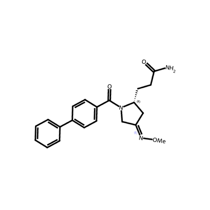 CO/N=C1\C[C@@H](CCC(N)=O)N(C(=O)c2ccc(-c3ccccc3)cc2)C1